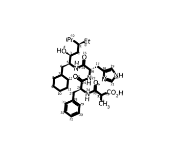 CC[C@@H](C[C@H](O)[C@H](CC1CCCCC1)NC(=O)[C@H](Cc1c[nH]cn1)NC(=O)[C@H](Cc1ccccc1)NC(=O)C(C)C(=O)O)C(C)C